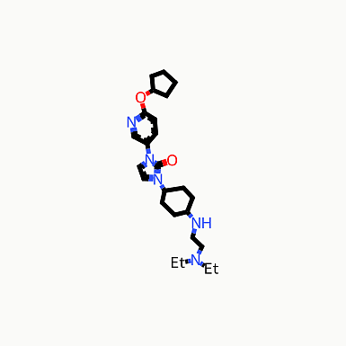 CCN(CC)CCNC1CCC(n2ccn(-c3ccc(OC4CCCC4)nc3)c2=O)CC1